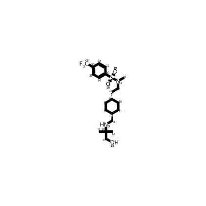 CN(CC[C@H]1CC[C@H](CNC(C)(C)CO)CC1)S(=O)(=O)c1ccc(C(F)(F)F)cc1